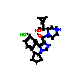 Cl.O=C(c1ncn(C2CCCC2)c1-c1ccccc1)N1CCNC[C@H]1C(O)C1CC1